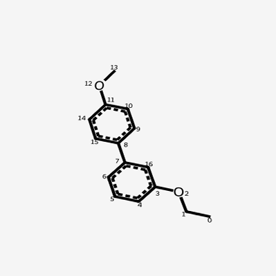 CCOc1cc[c]c(-c2ccc(OC)cc2)c1